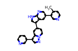 Cc1ccncc1-c1cnc2[nH]cc(-c3ccn4ncc(-c5cccnc5)c4c3)c2c1